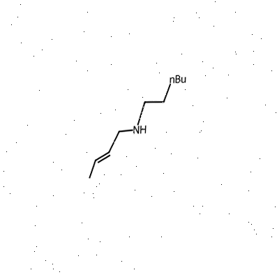 CC=CCNCCCCCC